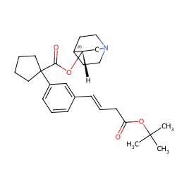 CC(C)(C)OC(=O)CC=Cc1cccc(C2(C(=O)O[C@H]3CN4CCC3CC4)CCCC2)c1